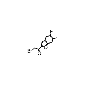 Cc1cc2oc(C(=O)CBr)cc2cc1F